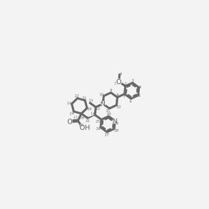 COc1ccccc1C1CCN(C(C)[C@H]([CH]C2(C(=O)O)CCCCC2)c2cccnc2)CC1